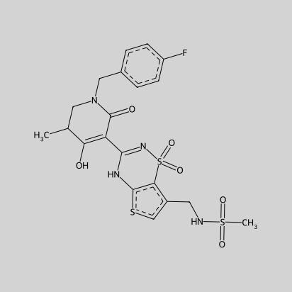 CC1CN(Cc2ccc(F)cc2)C(=O)C(C2=NS(=O)(=O)c3c(CNS(C)(=O)=O)csc3N2)=C1O